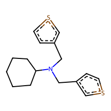 c1cc(CN(Cc2ccsc2)C2CCCCC2)cs1